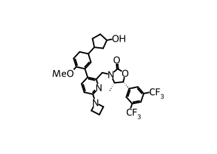 COC1=CCC(C2CCC(O)C2)C=C1c1ccc(N2CCC2)nc1CN1C(=O)O[C@H](c2cc(C(F)(F)F)cc(C(F)(F)F)c2)[C@@H]1C